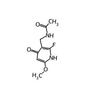 COc1cc(=O)c(CNC(C)=O)c(F)[nH]1